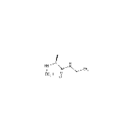 C[C@H](NC(=O)O)C(=O)NCC(F)(F)F